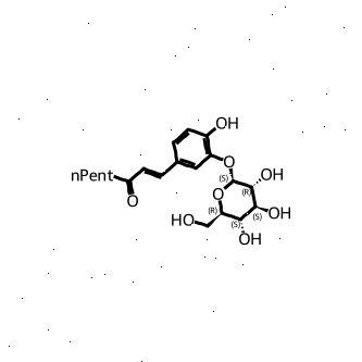 CCCCCC(=O)C=Cc1ccc(O)c(O[C@@H]2O[C@H](CO)[C@@H](O)[C@H](O)[C@H]2O)c1